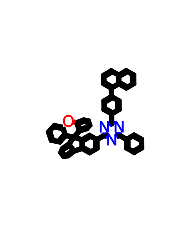 c1ccc(-c2nc(-c3ccc(-c4cccc5ccccc45)cc3)nc(-c3ccc4c(c3)C3(c5ccccc5Oc5ccccc53)c3ccccc3-4)n2)cc1